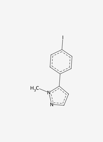 Cn1nccc1-c1ccc(I)cc1